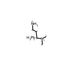 CN(C)CCCN.[PbH2]